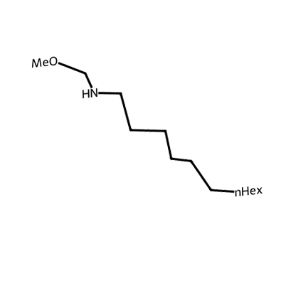 CCCCCCCCCCCCNCOC